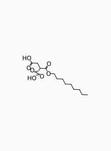 CCCCCCCCCOC(=O)C(CC(=O)O)S(=O)(=O)O